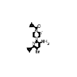 C[C@@H]1CN(c2nc(C3CC3)c(Br)cc2N)CCN1C(=O)C1CC1